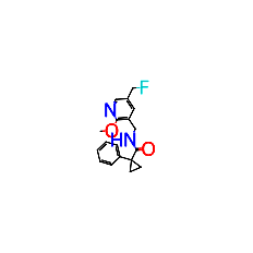 COc1ncc(CF)cc1CNC(=O)C1(c2ccccc2)CC1